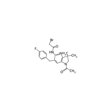 CC(=O)N1CC(C)(C)c2nc(NC(=O)CBr)c(Cc3ccc(F)cc3)cc21